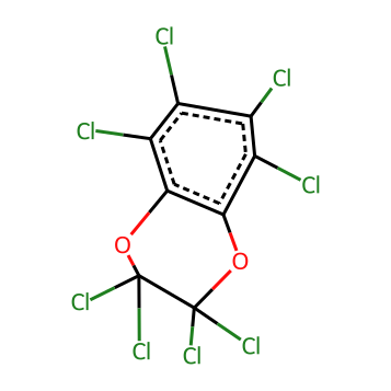 Clc1c(Cl)c(Cl)c2c(c1Cl)OC(Cl)(Cl)C(Cl)(Cl)O2